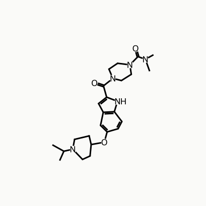 CC(C)N1CCC(Oc2ccc3[nH]c(C(=O)N4CCN(C(=O)N(C)C)CC4)cc3c2)CC1